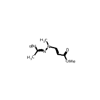 COC(=O)/C=C/N(C)/N=C(/C)C(C)(C)C